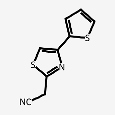 N#CCc1nc(-c2cccs2)cs1